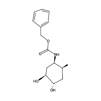 C[C@H]1C[C@H](O)[C@@H](O)C[C@H]1NC(=O)OCc1ccccc1